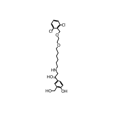 OCc1cc([C@H](O)CNCCCCCCOCCOCc2c(Cl)cccc2Cl)ccc1O